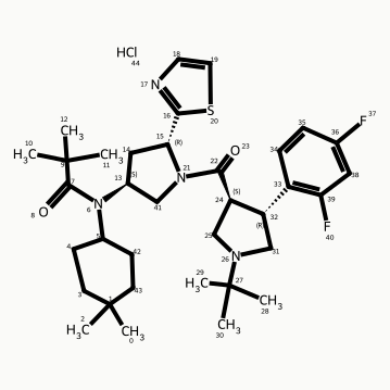 CC1(C)CCC(N(C(=O)C(C)(C)C)[C@H]2C[C@H](c3nccs3)N(C(=O)[C@@H]3CN(C(C)(C)C)C[C@H]3c3ccc(F)cc3F)C2)CC1.Cl